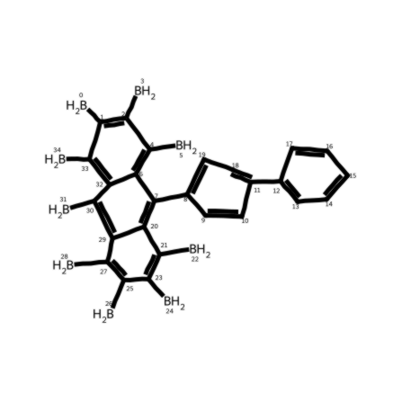 Bc1c(B)c(B)c2c(-c3ccc(-c4ccccc4)cc3)c3c(B)c(B)c(B)c(B)c3c(B)c2c1B